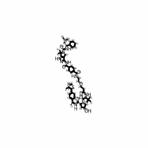 Cc1ncsc1-c1ccc([C@H](C)NC(=O)[C@@H]2C[C@@H](O)CN2C(=O)[C@@H](NC(=O)CCOCCNC(=O)c2ccc(C(=O)Nc3n[nH]c4c3CN(C(=O)N[C@H](CN(C)C)c3ccccc3)C4(C)C)cc2)C(C)(C)C)cc1